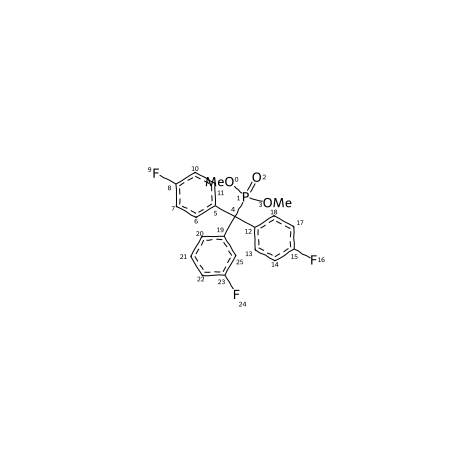 COP(=O)(OC)C(c1ccc(F)cc1)(c1ccc(F)cc1)c1cccc(F)c1